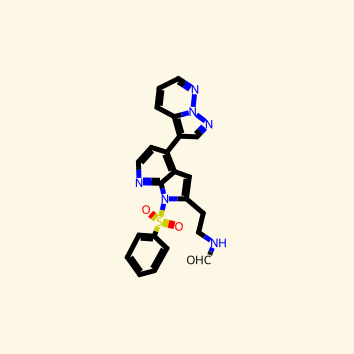 O=CNCCc1cc2c(-c3cnn4ncccc34)ccnc2n1S(=O)(=O)c1ccccc1